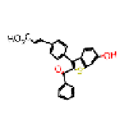 O=C(O)/C=C/c1ccc(-c2c(C(=O)c3ccccc3)sc3cc(O)ccc23)cc1